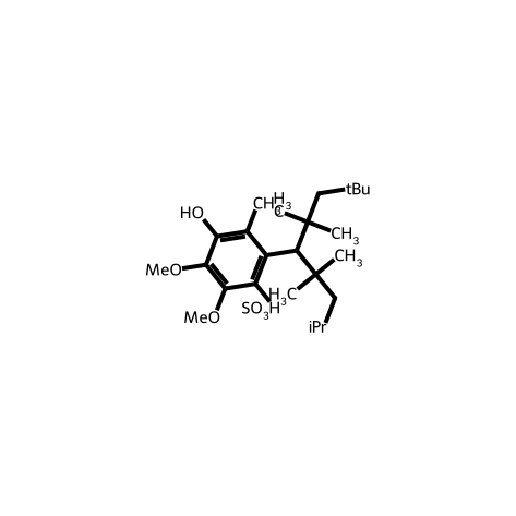 COc1c(O)c(C)c(C(C(C)(C)CC(C)C)C(C)(C)CC(C)(C)C)c(S(=O)(=O)O)c1OC